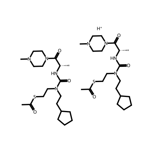 CC(=O)SCCN(CCC1CCCC1)C(=O)N[C@@H](C)C(=O)N1CCN(C)CC1.CC(=O)SCCN(CCC1CCCC1)C(=O)N[C@@H](C)C(=O)N1CCN(C)CC1.[H+]